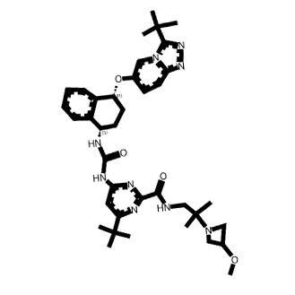 COC1CN(C(C)(C)CNC(=O)c2nc(NC(=O)N[C@H]3CC[C@@H](Oc4ccc5nnc(C(C)(C)C)n5c4)c4ccccc43)cc(C(C)(C)C)n2)C1